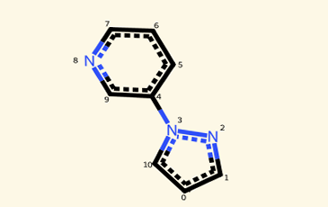 [c]1cnn(-c2cccnc2)c1